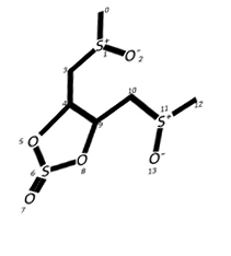 C[S+]([O-])CC1OS(=O)OC1C[S+](C)[O-]